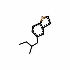 CCC(C)Cc1ccc2sccc2c1